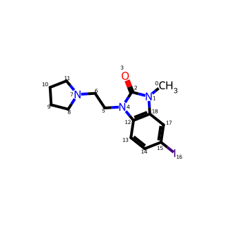 Cn1c(=O)n(CCN2CCCC2)c2ccc(I)cc21